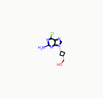 Nc1nc(Cl)c2ncn([C@H]3C[C@@H](CO)C3)c2n1